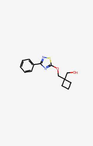 OCC1(COc2nc(-c3ccccc3)ns2)CCC1